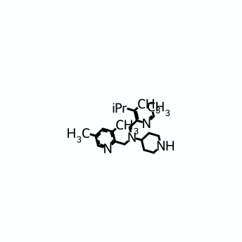 C/C=N\C(CN(Cc1ncc(C)cc1C)C1CCNCC1)=C(/C)C(C)C